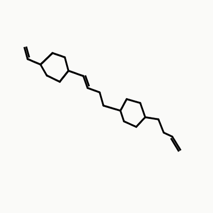 C=CCCC1CCC(CCC=CC2CCC(C=C)CC2)CC1